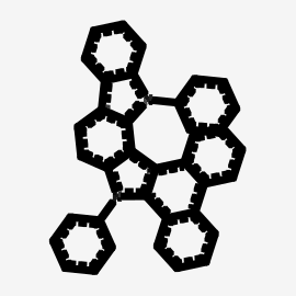 c1ccc(-n2c3ccccc3c3ccc4c(c5c6ccccc6c6ccccc6c5n4-c4ccccc4)c32)cc1